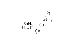 [Co].[Cu].[GaH3].[GeH4].[Pt].[SnH2]